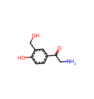 NCC(=O)c1ccc(O)c(CO)c1